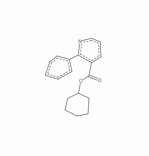 O=C(OC1CCCCC1)c1cccnc1-c1ccccc1